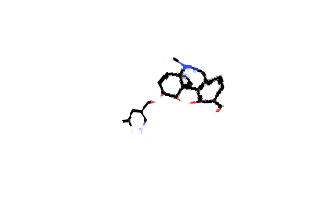 CC(C)CC(CN)COC1C=CC2C3Cc4ccc(CO)c5c4C2(CCN3C)C1O5